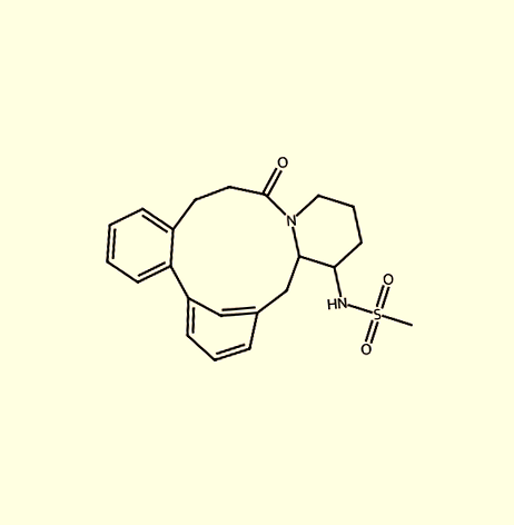 CS(=O)(=O)NC1CCCN2C(=O)CCc3ccccc3-c3cccc(c3)CC12